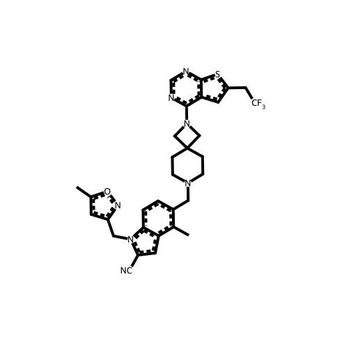 Cc1cc(Cn2c(C#N)cc3c(C)c(CN4CCC5(CC4)CN(c4ncnc6sc(CC(F)(F)F)cc46)C5)ccc32)no1